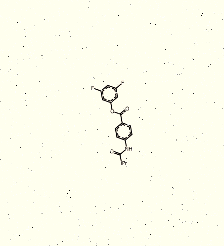 CC(C)C(=O)Nc1ccc(C(=O)Oc2cc(F)cc(F)c2)cc1